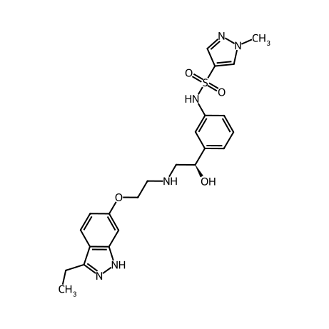 CCc1n[nH]c2cc(OCCNC[C@H](O)c3cccc(NS(=O)(=O)c4cnn(C)c4)c3)ccc12